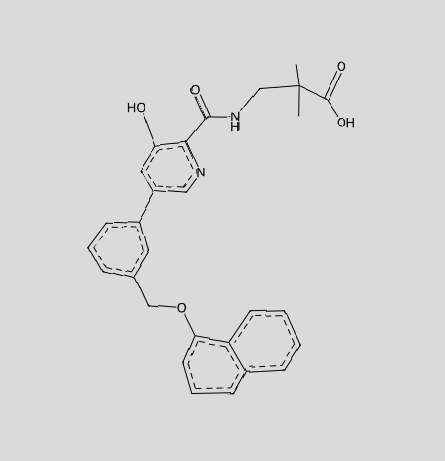 CC(C)(CNC(=O)c1ncc(-c2cccc(COc3cccc4ccccc34)c2)cc1O)C(=O)O